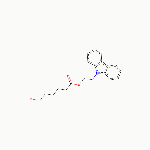 O=C(CCCCCO)OCCn1c2ccccc2c2ccccc21